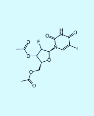 CC(=O)OC[C@@H]1O[C@H](n2cc(I)c(=O)[nH]c2=O)C(F)C1OC(C)=O